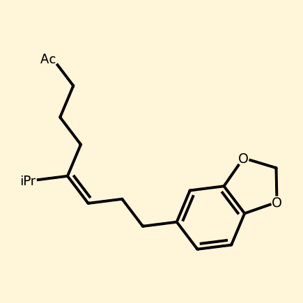 CC(=O)CCCC(=CCCc1ccc2c(c1)OCO2)C(C)C